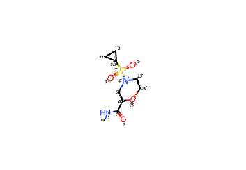 CNC(=O)C1CN(S(=O)(=O)C2CC2)CCO1